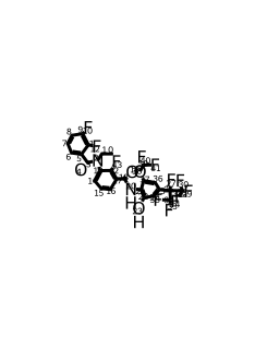 CCN(C(=O)c1cccc(F)c1F)c1cccc(C(=O)Nc2c(O)cc(C(F)(C(F)(F)F)C(F)(F)F)cc2OC(F)F)c1F